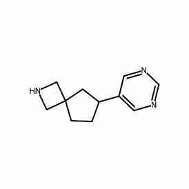 c1ncc(C2CCC3(CNC3)C2)cn1